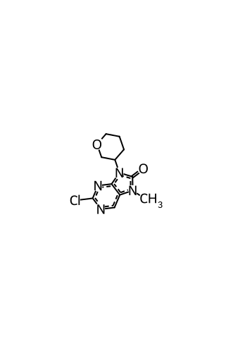 Cn1c(=O)n(C2CCCOC2)c2nc(Cl)ncc21